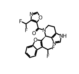 O=C(c1ocnc1C(F)F)N1CCc2[nH]cnc2[C@H]1c1oc2ccccc2c1C(F)F